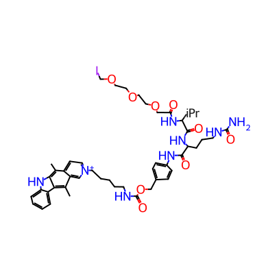 Cc1c2cc[n+](CCCCCNC(=O)OCc3ccc(NC(=O)C(CCCNC(N)=O)NC(=O)C(NC(=O)COCCOCCOCI)C(C)C)cc3)cc2c(C)c2c1[nH]c1ccccc12